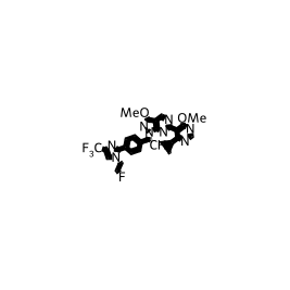 COc1ncnc(C2CC2)c1-c1ncc2c(OC)nn([C@@H](C)c3ccc(-c4nc(C(F)(F)F)cn4CCF)cc3)c2n1